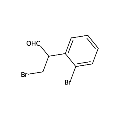 O=CC(CBr)c1ccccc1Br